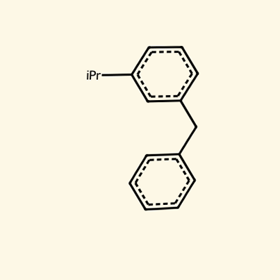 CC(C)c1cccc(Cc2ccccc2)c1